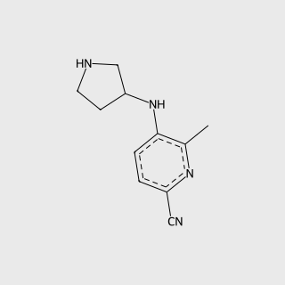 Cc1nc(C#N)ccc1NC1CCNC1